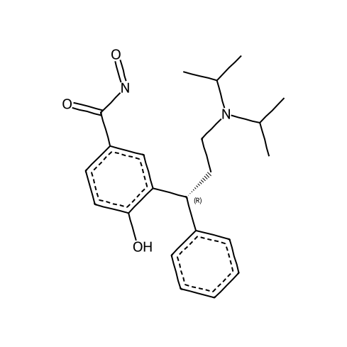 CC(C)N(CC[C@H](c1ccccc1)c1cc(C(=O)N=O)ccc1O)C(C)C